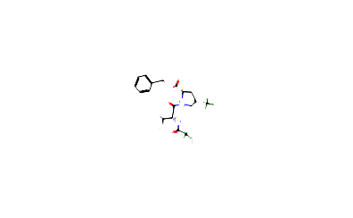 CC(C)[C@H](NC(=O)C(F)(F)F)C(=O)N1C[C@H](C(F)(F)F)C[C@H]1C(=O)OCc1ccccc1